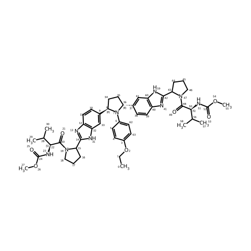 CCOc1ccc(N2[C@@H](c3ccc4nc(C5CCCN5C(=O)[C@@H](NC(=O)OC)C(C)C)[nH]c4c3)CC[C@@H]2c2ccc3nc(C4CCCN4C(=O)[C@@H](NC(=O)OC)C(C)C)[nH]c3c2)cc1